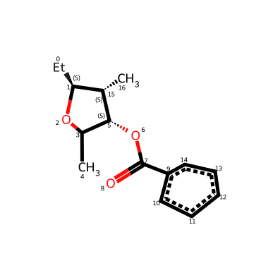 CC[C@@H]1OC(C)[C@@H](OC(=O)c2ccccc2)[C@H]1C